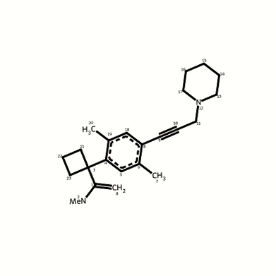 C=C(NC)C1(c2cc(C)c(C#CCN3CCCCC3)cc2C)CCC1